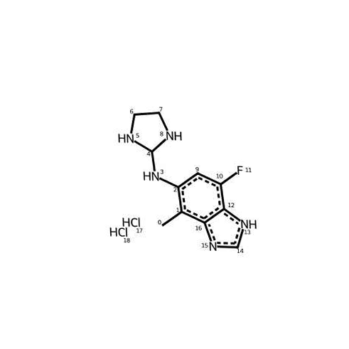 Cc1c(NC2NCCN2)cc(F)c2[nH]cnc12.Cl.Cl